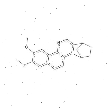 COc1cc2ccc3c4c(cnc3c2cc1OC)C1CCC4C1